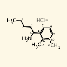 CCCCC(N)c1cccc(C)c1C.Cl